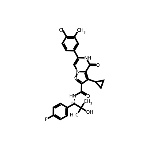 Cc1cc(-c2cn3nc(C(=O)N[C@@H](c4ccc(F)cc4)C(C)(C)O)c(C4CC4)c3c(=O)[nH]2)ccc1Cl